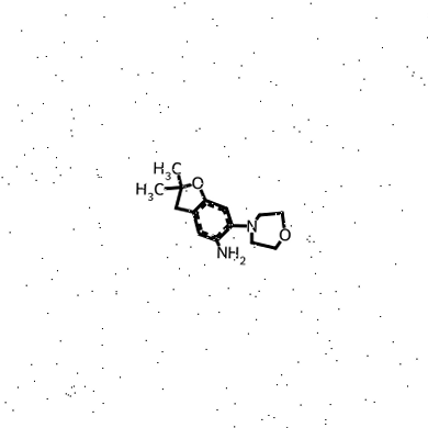 CC1(C)Cc2cc(N)c(N3CCOCC3)cc2O1